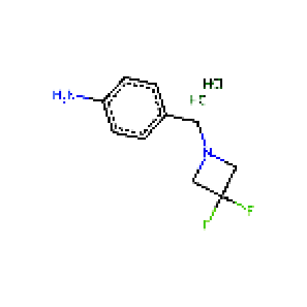 Cl.Cl.Nc1ccc(CN2CC(F)(F)C2)cc1